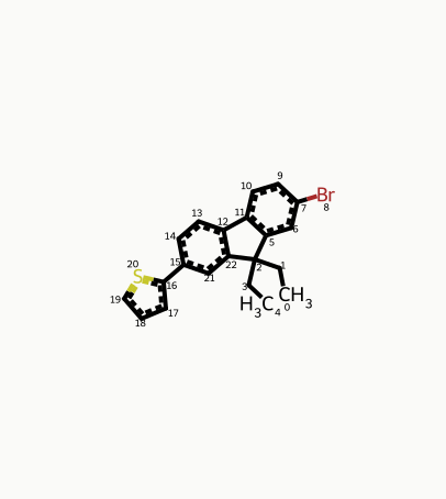 CCC1(CC)c2cc(Br)ccc2-c2ccc(-c3cccs3)cc21